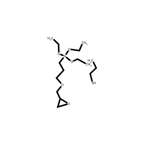 CCO[Si](CCCOCC1CO1)(OCC)OCC.[CH2]CCS